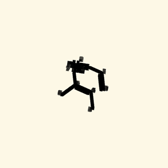 C=CCCCCCC.CC=C(C)C(C)CC